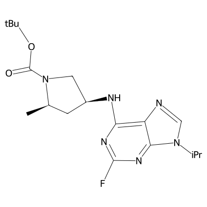 CC(C)n1cnc2c(N[C@H]3C[C@@H](C)N(C(=O)OC(C)(C)C)C3)nc(F)nc21